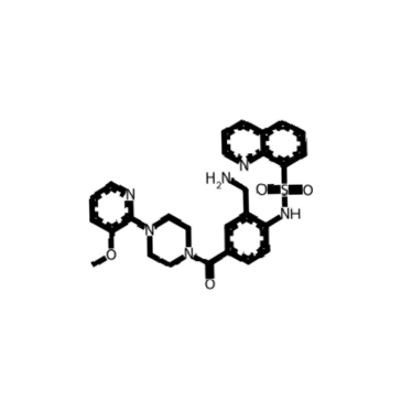 COc1cccnc1N1CCN(C(=O)c2ccc(NS(=O)(=O)c3cccc4cccnc34)c(CN)c2)CC1